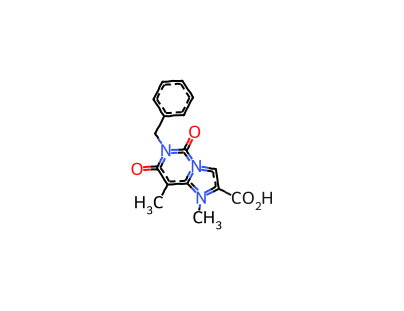 Cc1c(=O)n(Cc2ccccc2)c(=O)n2cc(C(=O)O)n(C)c12